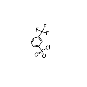 O=S(=O)(Cl)c1cc[c]c(C(F)(F)F)c1